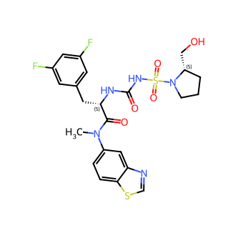 CN(C(=O)[C@H](Cc1cc(F)cc(F)c1)NC(=O)NS(=O)(=O)N1CCC[C@H]1CO)c1ccc2scnc2c1